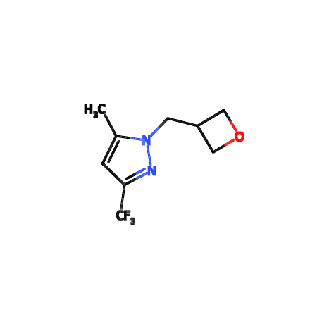 Cc1cc(C(F)(F)F)nn1CC1COC1